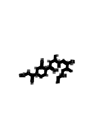 C=CNCC(C)/C(=C\NC(C)SC(=N)N1CCN(C(=O)OC(C)(C)C)CC1=O)CC